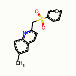 Cc1ccc2nc(CS(=O)(=O)c3ccccc3)ccc2c1